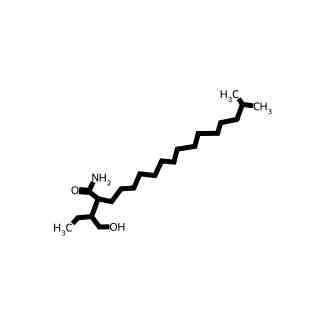 CCC(CO)C(CCCCCCCCCCCCCC(C)C)C(N)=O